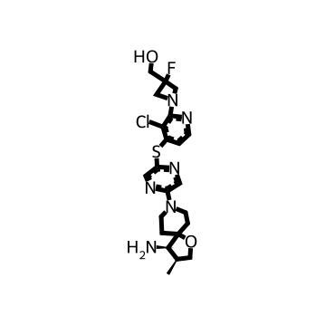 C[C@@H]1COC2(CCN(c3cnc(Sc4ccnc(N5CC(F)(CO)C5)c4Cl)cn3)CC2)[C@@H]1N